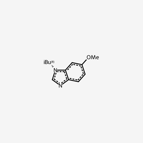 CC[C@@H](C)n1cnc2ccc(OC)cc21